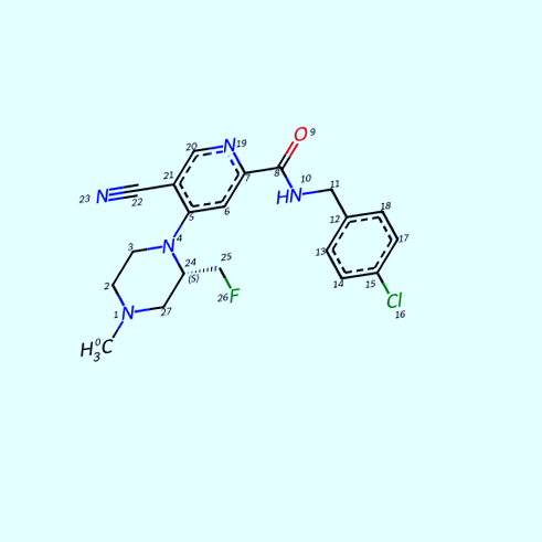 CN1CCN(c2cc(C(=O)NCc3ccc(Cl)cc3)ncc2C#N)[C@H](CF)C1